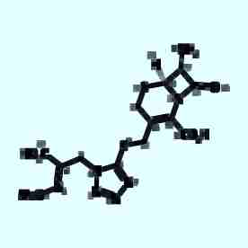 CON=C(Cn1nnnc1SCC1=C(C(=O)O)N2C(=O)C(N)[C@@H]2SC1)C(=O)O